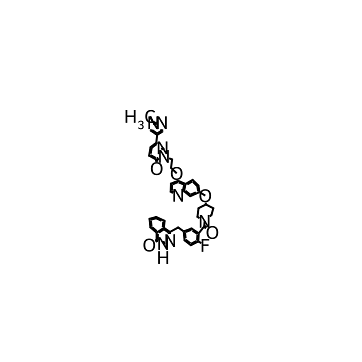 Cn1cc(-c2ccc(=O)n(CCOc3ccnc4cc(OC5CCN(C(=O)c6cc(Cc7n[nH]c(=O)c8ccccc78)ccc6F)CC5)ccc34)n2)cn1